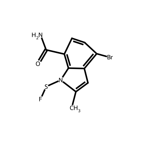 Cc1cc2c(Br)ccc(C(N)=O)c2n1SF